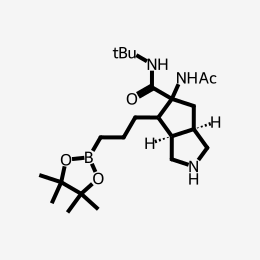 CC(=O)NC1(C(=O)NC(C)(C)C)C[C@H]2CNC[C@H]2C1CCCB1OC(C)(C)C(C)(C)O1